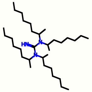 CCCCCCC(C)N(C(=N)N(C(C)CCCCCC)C(C)CCCCCC)C(C)CCCCCC